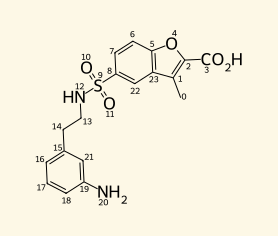 Cc1c(C(=O)O)oc2ccc(S(=O)(=O)NCCc3cccc(N)c3)cc12